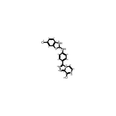 Clc1ccc2c(c1)SC(Nc1ccc(-c3nnc4c(Cl)nccn34)cc1)N2